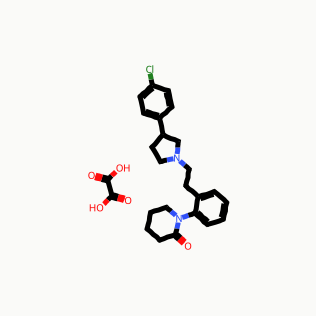 O=C(O)C(=O)O.O=C1CCCCN1c1ccccc1CCN1CCC(c2ccc(Cl)cc2)C1